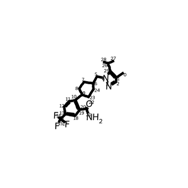 Cc1cnn(CC2CCC(c3ccc(C(F)(F)F)cc3C(N)=O)CC2)c1C(C)C